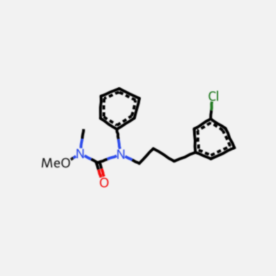 CON(C)C(=O)N(CCCc1cccc(Cl)c1)c1ccccc1